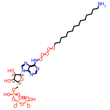 NCCCCCCCCCCCCCCOOOOONc1ncnc2c1ncn2[C@@H]1O[C@H](COP(=O)(O)OP(=O)(O)OP(=O)(O)O)[C@@H](O)[C@H]1O